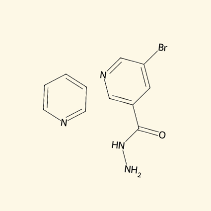 NNC(=O)c1cncc(Br)c1.c1ccncc1